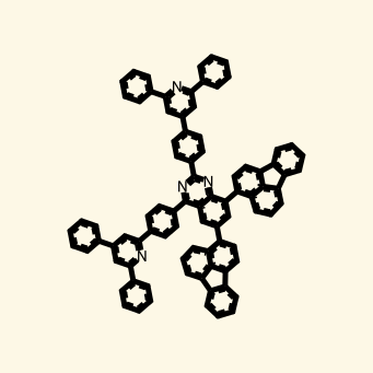 c1ccc(-c2cc(-c3ccccc3)nc(-c3ccc(-c4nc(-c5ccc(-c6cc(-c7ccccc7)nc(-c7ccccc7)c6)cc5)nc5c(-c6ccc7c8c(cccc68)-c6ccccc6-7)cc(-c6ccc7c8c(cccc68)-c6ccccc6-7)cc45)cc3)c2)cc1